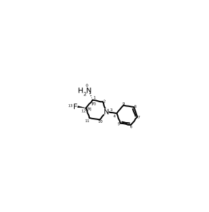 N[C@@H]1CN(C2C=CC=CC2)CC[C@H]1F